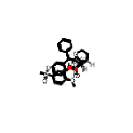 COc1ccc(S(C)(=O)=O)cc1CN[C@H]1[C@H]2CCN(C[C@@H]2C(=O)O)[C@H]1C(c1ccccc1)c1ccccc1